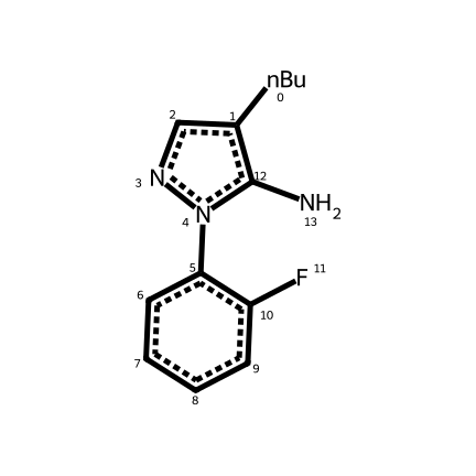 CCCCc1cnn(-c2ccccc2F)c1N